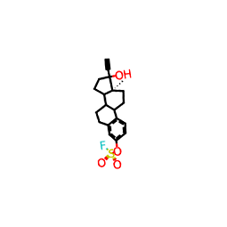 C#CC1(O)CCC2C3CCc4cc(OS(=O)(=O)F)ccc4C3CC[C@@]21C